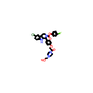 O=C(COc1ccc(C2c3[nH]c4c(c3CCN2C(=O)Oc2ccc(F)cc2)=CC(Cl)CC=4)cc1)N1CCN(CCO)CC1